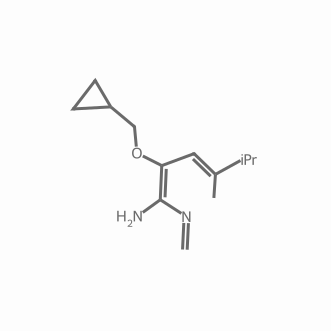 C=N/C(N)=C(\C=C(/C)C(C)C)OCC1CC1